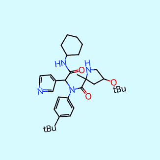 CC(C)(C)OC1CNC(C)(C(=O)N(c2ccc(C(C)(C)C)cc2)C(C(=O)NC2CCCCC2)c2cccnc2)C1